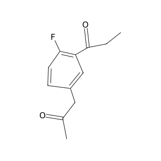 CCC(=O)c1cc(CC(C)=O)ccc1F